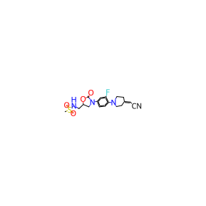 CS(=O)(=O)NCC1CN(c2ccc(N3CCC(=CC#N)CC3)c(F)c2)C(=O)O1